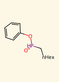 CCCCCCC[PH](=O)Oc1ccccc1